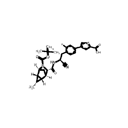 C[C@H]1[C@H]2[C@H]3C[C@@H]([C@@H]12)N(C(=O)OC(C)(C)C)[C@@H]3C(=O)N[C@H](C#N)Cc1ccc(-c2csc(C(=O)O)c2)cc1F